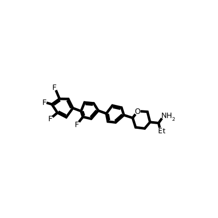 CCC(N)C1CCC(c2ccc(-c3ccc(-c4cc(F)c(F)c(F)c4)c(F)c3)cc2)OC1